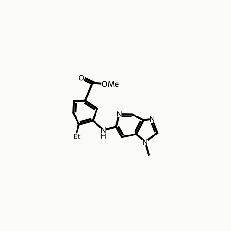 CCc1ccc(C(=O)OC)cc1Nc1cc2c(cn1)ncn2C